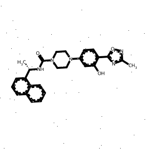 Cc1noc(-c2ccc(N3CCN(C(=O)N[C@@H](C)c4cccc5ccccc45)CC3)cc2O)n1